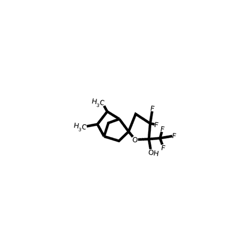 CC1C2CC(C1C)C1(C2)CC(F)(F)C(O)(C(F)(F)F)O1